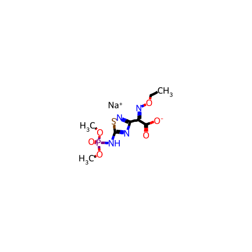 CCON=C(C(=O)[O-])c1nsc(NP(=O)(OC)OC)n1.[Na+]